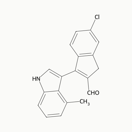 Cc1cccc2[nH]cc(C3=C(C=O)Cc4cc(Cl)ccc43)c12